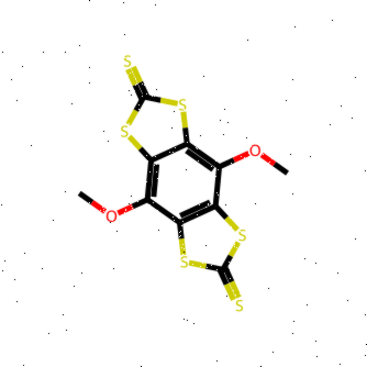 COc1c2sc(=S)sc2c(OC)c2sc(=S)sc12